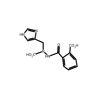 O=C(O)c1ccccc1C(=O)NN(Cc1c[nH]cn1)C(=O)O